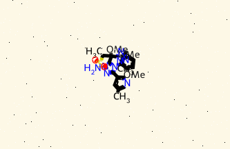 COc1cccc(OC)c1-n1c(-c2cncc(C)c2)nnc1C(OC)(c1ncnn1C)C(C)S(N)(=O)=O